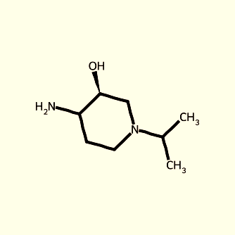 CC(C)N1CCC(N)[C@@H](O)C1